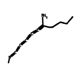 CCCCC(P)=C=C=C=C=C=NC